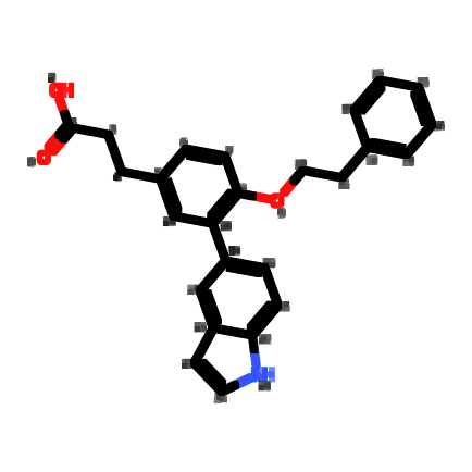 O=C(O)CCc1ccc(OCCc2ccccc2)c(-c2ccc3[nH]ccc3c2)c1